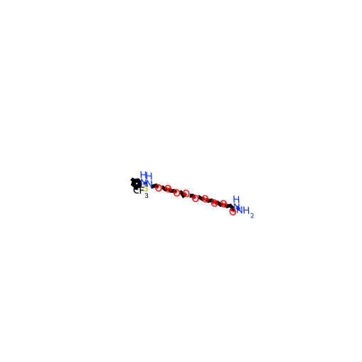 Cc1cc(NC(=S)NCCOCCOCCOCCOCCOCCOCCOCCOCCC(=O)NN)cc(C(F)(F)F)c1